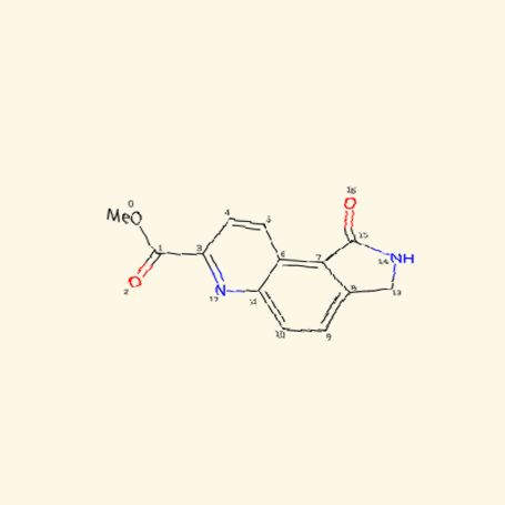 COC(=O)c1ccc2c3c(ccc2n1)CNC3=O